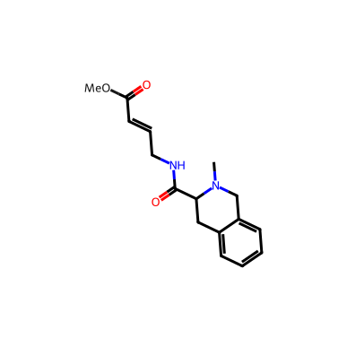 COC(=O)/C=C/CNC(=O)C1Cc2ccccc2CN1C